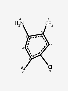 CC(=O)c1cc(N)c(C(F)(F)F)cc1Cl